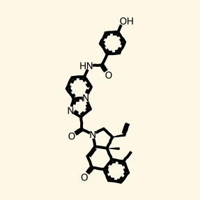 C=C[C@@H]1CN(C(=O)c2cn3cc(NC(=O)c4ccc(O)cc4)ccc3n2)C2=CC(=O)c3cccc(C)c3[C@]21C